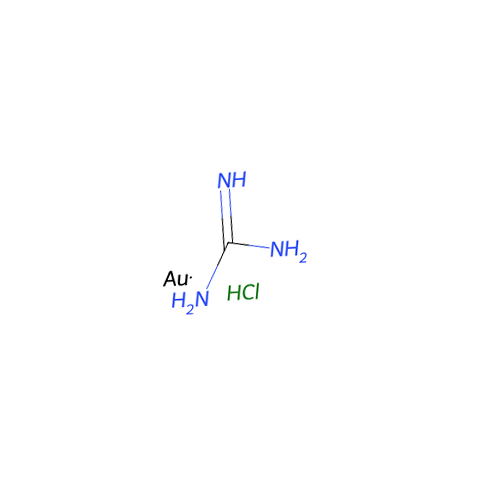 Cl.N=C(N)N.[Au]